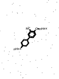 CCCCCCOc1ccc(C2CCC(CCCCCC)CC2)cc1C#N